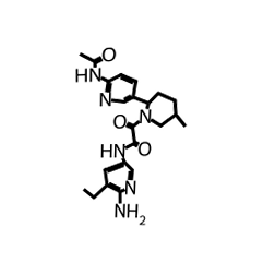 CCc1cc(NC(=O)C(=O)N2CC(C)CCC2c2ccc(NC(C)=O)nc2)cnc1N